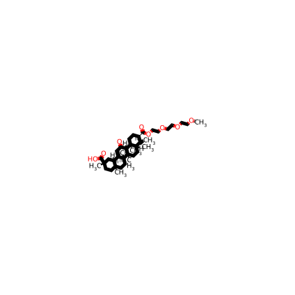 COCCOCCOCCOC(=O)[C@H]1CC[C@]2(C)[C@H]3C(=O)C=C4[C@@H]5C[C@@](C)(C(=O)O)CC[C@]5(C)CC[C@@]4(C)[C@]3(C)CC[C@H]2C1(C)C